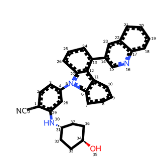 N#Cc1ccc(-n2c3ccccc3c3c(-c4cnc5ccccc5c4)cccc32)cc1N[C@H]1CC[C@H](O)CC1